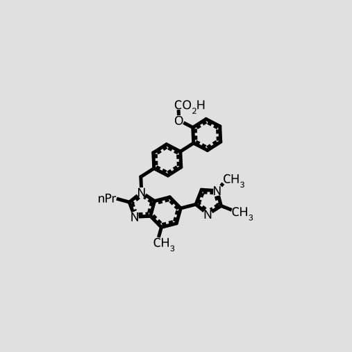 CCCc1nc2c(C)cc(-c3cn(C)c(C)n3)cc2n1Cc1ccc(-c2ccccc2OC(=O)O)cc1